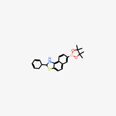 CC1(C)OB(c2ccc3c4c(ccc3c2)SC(C2C=CC=CC2)N4)OC1(C)C